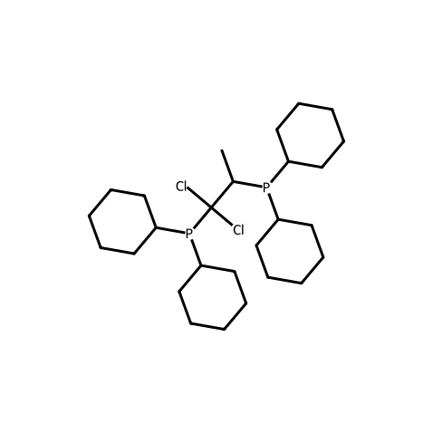 CC(P(C1CCCCC1)C1CCCCC1)C(Cl)(Cl)P(C1CCCCC1)C1CCCCC1